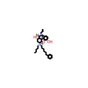 C=CCN1CC[C@]23c4c5ccc(O)c4O[C@H]2[C@H](N(CCCCC)CCCCCCc2ccccc2)CC[C@@]3(O)[C@H]1C5